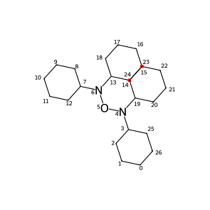 C1CCC(N(ON(C2CCCCC2)C2CCCCC2)C2CCCCC2)CC1